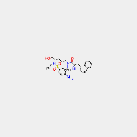 CCCCNC(Cc1cccc2ccccc12)C(=O)NCCCC(CO)N(CC(C)C)S(=O)(=O)c1ccc(N)cc1